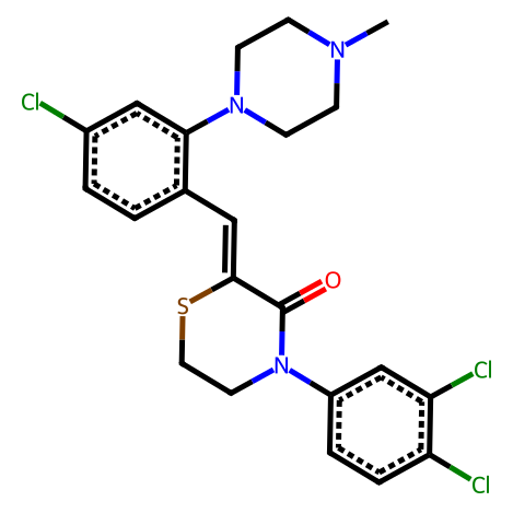 CN1CCN(c2cc(Cl)ccc2C=C2SCCN(c3ccc(Cl)c(Cl)c3)C2=O)CC1